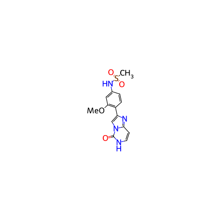 COc1cc(NS(C)(=O)=O)ccc1-c1cn2c(=O)[nH]ccc2n1